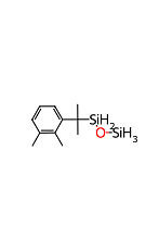 Cc1cccc(C(C)(C)[SiH2]O[SiH3])c1C